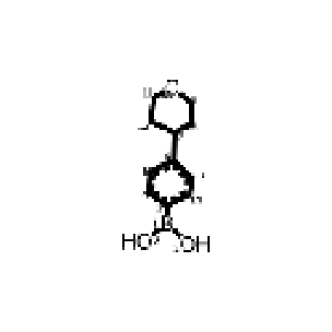 OB(O)c1ccc(C2CCOCC2)cc1